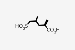 C=C(CC(C)CS(=O)(=O)O)C(=O)O